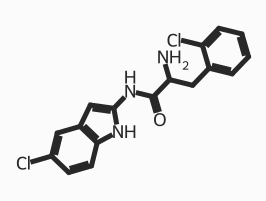 NC(Cc1ccccc1Cl)C(=O)Nc1cc2cc(Cl)ccc2[nH]1